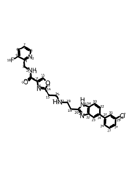 O=C(NCc1ncccc1F)c1coc(CCNCCc2nc3cc(-c4cccc(Cl)c4)ccc3[nH]2)n1